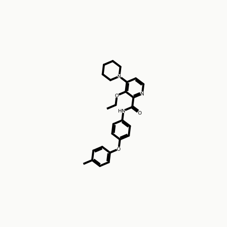 CCOc1c(N2CCCCC2)ccnc1C(=O)Nc1ccc(Oc2ccc(C)cc2)cc1